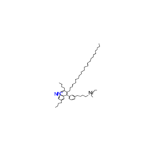 CCCCCCCCCCCCCCCCCCCCCCCCC(C(=C=[N+]=[N-])CCCC)=C(c1cccc(CCCC)c1)c1cccc(CCCCC)c1.C[CH2][Ni][CH2]C